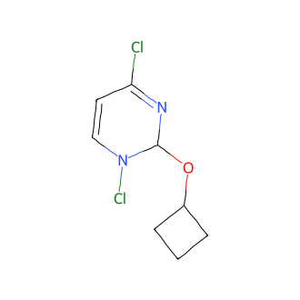 ClC1=NC(OC2CCC2)N(Cl)C=C1